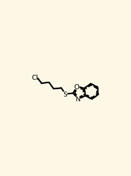 ClCCCCSc1nc2ccccc2o1